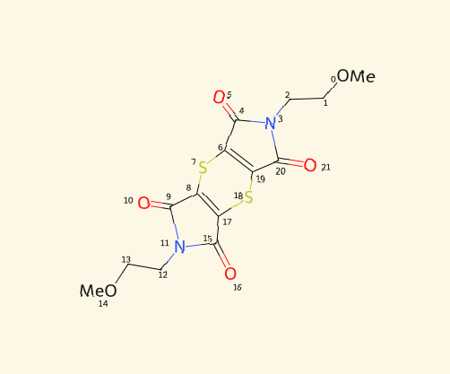 COCCn1c(=O)c2sc3c(=O)n(CCOC)c(=O)c3sc2c1=O